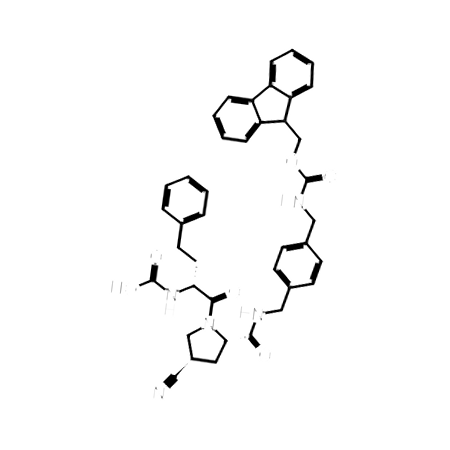 N#C[C@@H]1C[C@@H](C(=O)NCc2ccc(CNC(=O)OCC3c4ccccc4-c4ccccc43)cc2)N(C(=O)[C@@H](CCc2ccccc2)NC(=O)O)C1